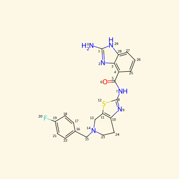 Nc1nc2c(C(=O)Nc3nc4c(s3)CN(Cc3ccc(F)cc3)CC4)cccc2[nH]1